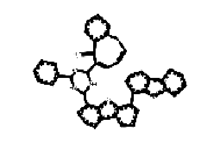 C=C1/C(C2NC(c3ccccc3)NC(c3cccc4c3oc3c(-c5cccc6c5sc5ccccc56)cccc34)N2)=C\C=C/Sc2ccccc21